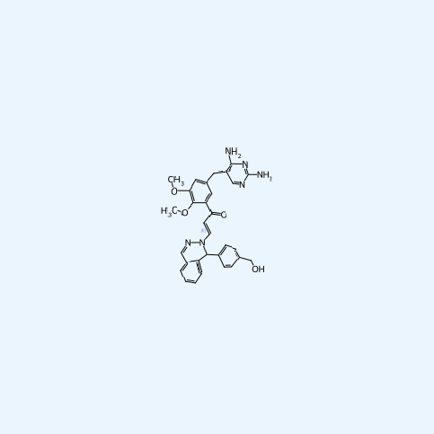 COc1cc(Cc2cnc(N)nc2N)cc(C(=O)/C=C/N2N=Cc3ccccc3C2c2ccc(CO)cc2)c1OC